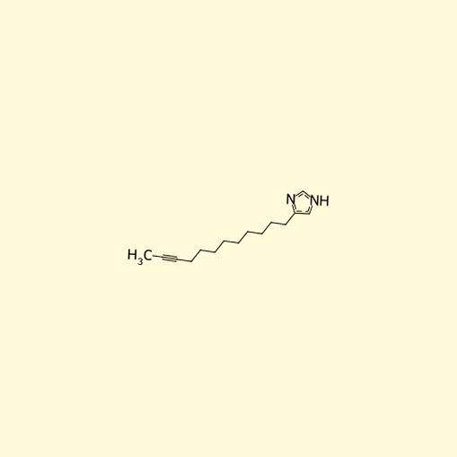 CC#CCCCCCCCCCc1c[nH]cn1